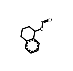 O=[C]OC1CCCc2ccccc21